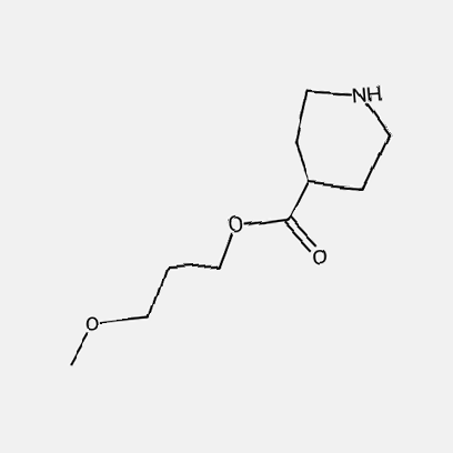 COCCCOC(=O)C1CCNCC1